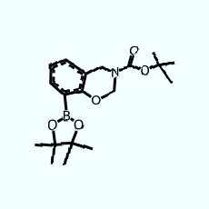 CC(C)(C)OC(=O)N1COc2c(cccc2B2OC(C)(C)C(C)(C)O2)C1